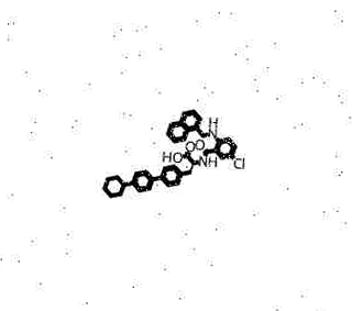 O=C(N[C@@H](Cc1ccc(-c2ccc(C3CCCCC3)cc2)cc1)C(=O)O)c1cc(Cl)ccc1NCc1cccc2ccccc12